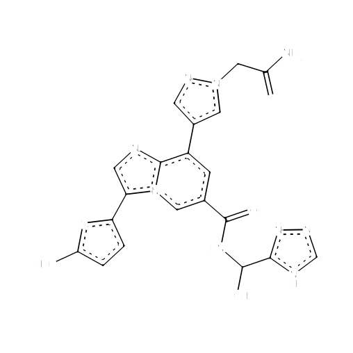 Cc1ccc(-c2cnc3c(-c4cnn(CC(N)=O)c4)cc(C(=O)NC(C)c4nnc[nH]4)cn23)s1